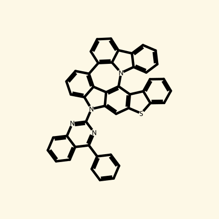 c1ccc(-c2nc(-n3c4cccc5c6cccc7c8ccccc8n(c67)c6c7c(cc3c6c54)sc3ccccc37)nc3ccccc23)cc1